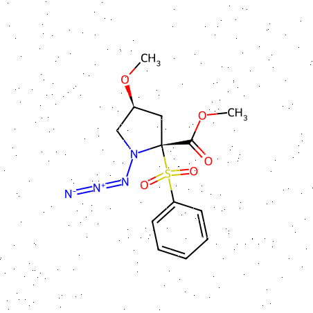 COC(=O)[C@]1(S(=O)(=O)c2ccccc2)C[C@H](OC)CN1N=[N+]=[N-]